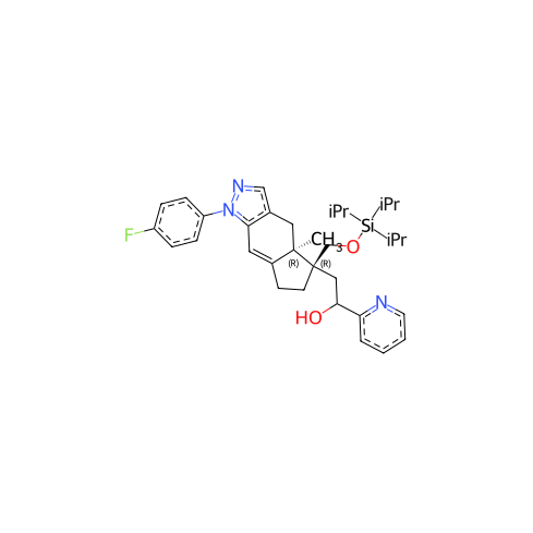 CC(C)[Si](OC[C@@]1(CC(O)c2ccccn2)CCC2=Cc3c(cnn3-c3ccc(F)cc3)C[C@]21C)(C(C)C)C(C)C